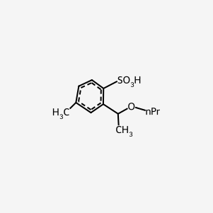 CCCOC(C)c1cc(C)ccc1S(=O)(=O)O